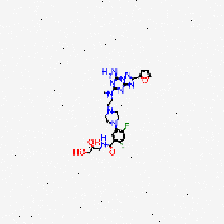 CN(CCN1CCN(c2cc(C(=O)NCC(O)CO)c(F)cc2F)CC1)c1nc(N)n2nc(-c3ccco3)nc2n1